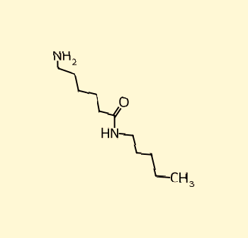 CCCCCNC(=O)CCCCCN